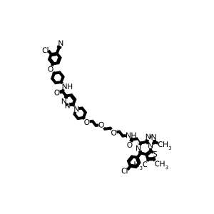 Cc1sc2c(c1C)C(c1ccc(Cl)cc1)=N[C@@H](CC(=O)NCCOCCOCCOC1CCN(c3ccc(C(=O)NC4CCC(Oc5ccc(C#N)c(Cl)c5)CC4)nn3)CC1)c1nnc(C)n1-2